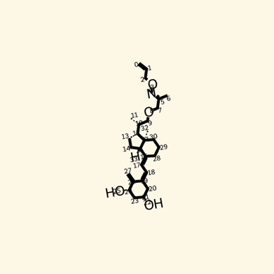 C=CCON=C(C)COC[C@@H](C)[C@H]1CC[C@H]2/C(=C/C=C3/C[C@@H](O)C[C@H](O)C3=C)CCC[C@]12C